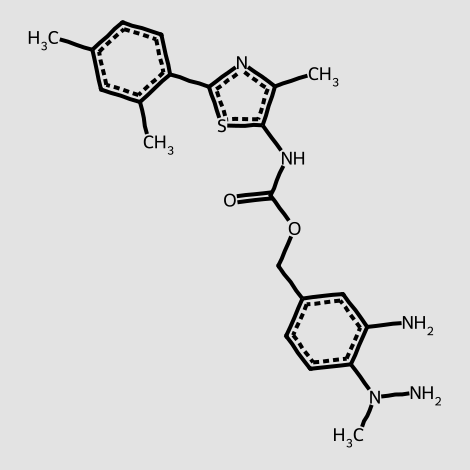 Cc1ccc(-c2nc(C)c(NC(=O)OCc3ccc(N(C)N)c(N)c3)s2)c(C)c1